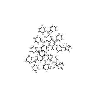 CC(C)(C)c1ccc2sc3c(c2c1)N(c1ccccc1)c1cc(N(c2ccccc2)c2ccccc2)cc2c1B3c1cc3c(cc1N2c1ccccc1)N(c1ccccc1)c1cc(N(c2ccccc2)c2ccccc2)cc2c1B3c1sc3ccc(C(C)(C)C)cc3c1N2c1ccccc1